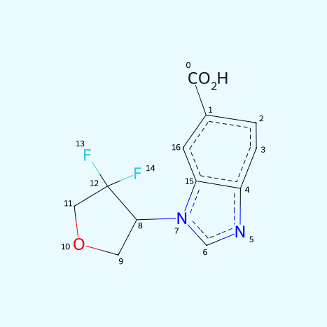 O=C(O)c1ccc2ncn(C3COCC3(F)F)c2c1